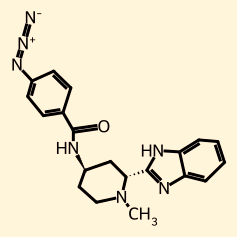 CN1CC[C@@H](NC(=O)c2ccc(N=[N+]=[N-])cc2)C[C@@H]1c1nc2ccccc2[nH]1